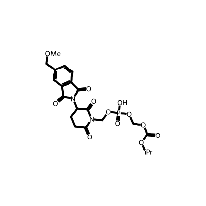 COCc1ccc2c(c1)C(=O)N(C1CCC(=O)N(COP(=O)(O)OCOC(=O)OC(C)C)C1=O)C2=O